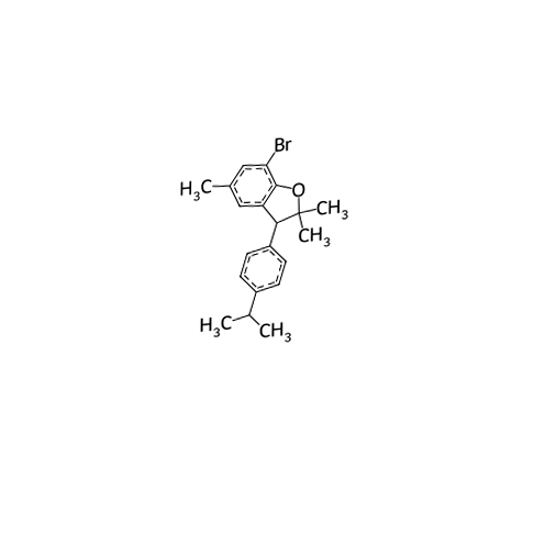 Cc1cc(Br)c2c(c1)C(c1ccc(C(C)C)cc1)C(C)(C)O2